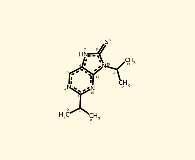 CC(C)c1ncc2[nH]c(=S)n(C(C)C)c2n1